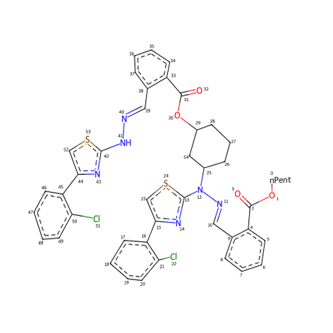 CCCCCOC(=O)c1ccccc1/C=N/N(c1nc(-c2ccccc2Cl)cs1)C1CCCC(OC(=O)c2ccccc2/C=N/Nc2nc(-c3ccccc3Cl)cs2)C1